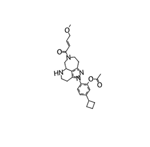 COC/C=C/C(=O)N1CCc2nn(-c3ccc(C4CCC4)cc3OC(C)=O)c3c2C(C1)NCC3